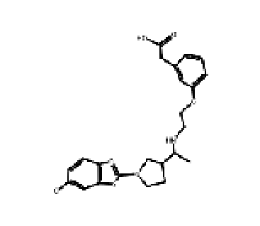 CC(NCCOc1cccc(CC(=O)O)c1)C1CCN(c2nc3ccc(Cl)cc3s2)C1